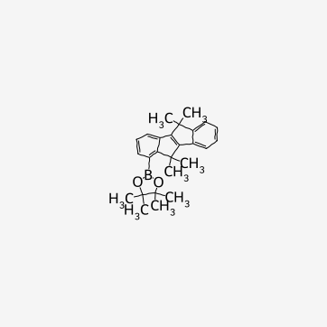 CC1(C)C2=C(c3ccccc31)C(C)(C)c1c(B3OC(C)(C)C(C)(C)O3)cccc12